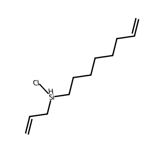 C=CCCCCCC[SiH](Cl)CC=C